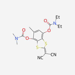 CCN(CC)C(=O)Oc1cc(C)c(OC(=O)N(C)C)c2c1SC(=C(C#N)C#N)S2